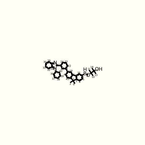 CC1(C)c2ccc(BOC(C)(C)C(C)(C)O)cc2-c2cc(-c3cccc(-c4nc5ccccc5n4-c4ccccc4)c3)ccc21